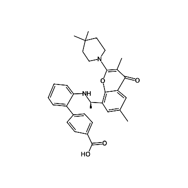 Cc1cc([C@@H](C)Nc2ccccc2-c2ccc(C(=O)O)cc2)c2oc(N3CCC(C)(C)CC3)c(C)c(=O)c2c1